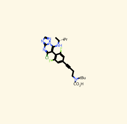 CC(C)[C@@H](C)Nc1c(-c2c(F)cc(C#CCCN(C(=O)O)C(C)(C)C)cc2F)c(Cl)nc2ncnn12